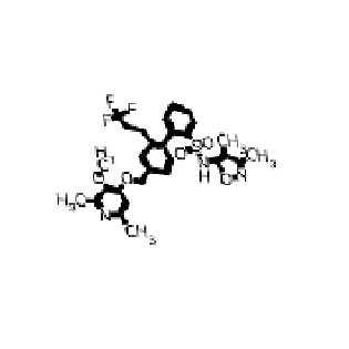 COc1c(OCc2ccc(-c3ccccc3S(=O)(=O)Nc3onc(C)c3C)c(CCC(F)(F)F)c2)cc(C)nc1C